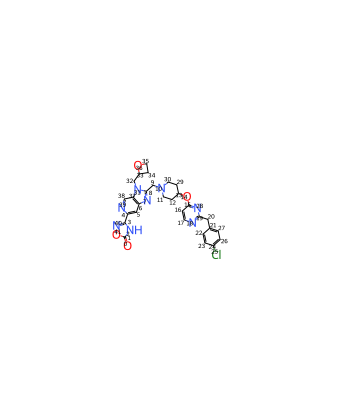 O=c1[nH]c(-c2cc3nc(CN4CCC(Oc5ccnc(Cc6ccc(Cl)cc6)n5)CC4)n(CC4CCO4)c3cn2)no1